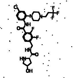 O=C(Nc1ccc(Cl)cc1N1CCN(CCC(F)(F)F)CC1)c1ccc(CNC(=O)[C@@H]2C[C@@H](O)CN2)c(F)c1F